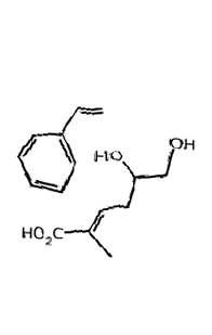 C=Cc1ccccc1.CC(=CCC(O)CO)C(=O)O